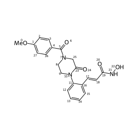 COc1ccc(C(=O)N2CCN(c3ccccc3C=CC(=O)NO)C(=O)C2)cc1